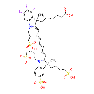 CC1(CCCCS(=O)(=O)O)C(C=CC=CC=CC=C2N(CCCS(=O)(=O)O)c3cc(I)c(I)c(I)c3C2(C)CCCCCC(=O)O)=[N+](CCCCS(=O)(=O)[O-])c2ccc(S(=O)(=O)O)cc21